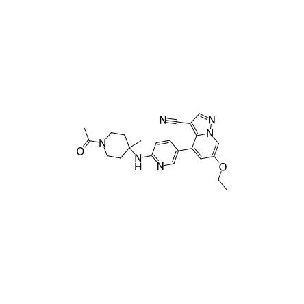 CCOc1cc(-c2ccc(NC3(C)CCN(C(C)=O)CC3)nc2)c2c(C#N)cnn2c1